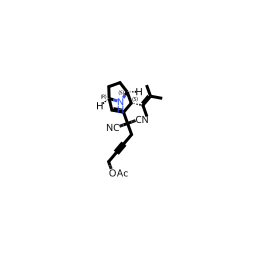 CC(=O)OCC#CCC(C#N)(C#N)C1=C[C@H]2CC[C@H](N2)[C@@H]1C(C)=C(C)C